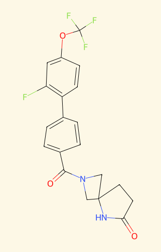 O=C1CCC2(CN(C(=O)c3ccc(-c4ccc(OC(F)(F)F)cc4F)cc3)C2)N1